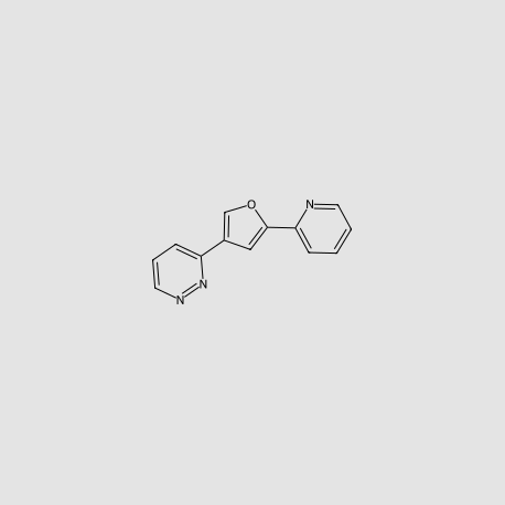 c1ccc(-c2cc(-c3cccnn3)co2)nc1